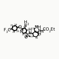 Bc1cc(S(=C)(=O)NC2CCCC(NCC(=O)OCC)=C2C=N)cnc1Oc1ccc(C(F)(F)F)cc1